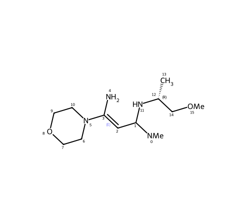 CNC(/C=C(\N)N1CCOCC1)N[C@H](C)COC